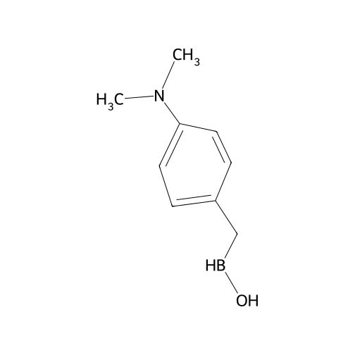 CN(C)c1ccc(CBO)cc1